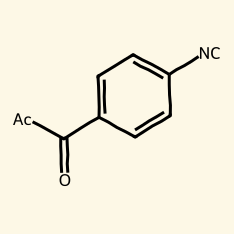 [C-]#[N+]c1ccc(C(=O)C(C)=O)cc1